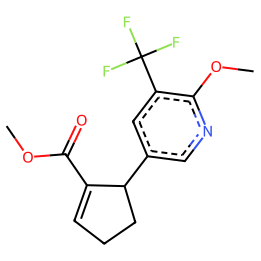 COC(=O)C1=CCCC1c1cnc(OC)c(C(F)(F)F)c1